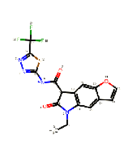 CCN1C(=O)C(C(=O)Nc2nnc(C(F)(F)F)s2)c2cc3occc3cc21